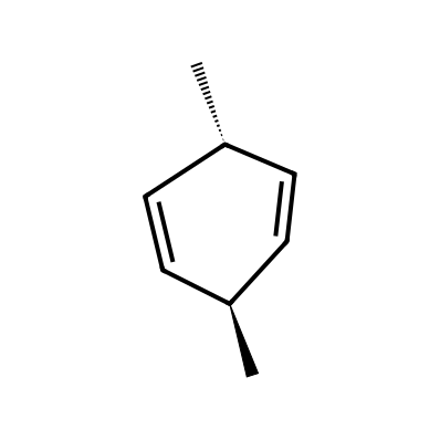 C[C@H]1C=C[C@H](C)C=C1